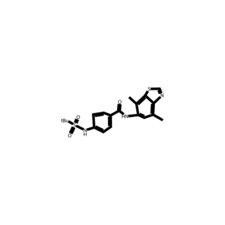 Cc1cc(NC(=O)c2ccc(NS(=O)(=O)C(C)(C)C)cc2)c(C)c2scnc12